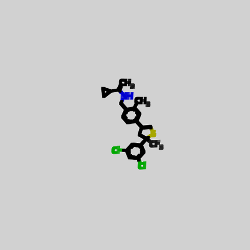 C=C(NCc1ccc(C2=CSC(c3cc(Cl)cc(Cl)c3)(C(F)(F)F)C2)cc1C)C1CC1